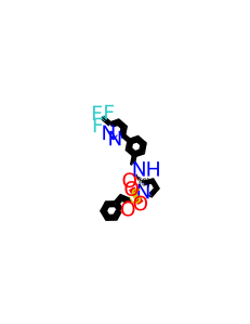 O=C(NCc1cccc(-c2ccc(C(F)(F)F)nn2)c1)[C@@H]1CCCN1S(=O)(=O)c1cc2ccccc2o1